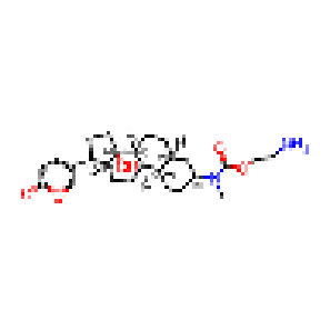 CN(C(=O)OCCN)[C@H]1CC[C@@]2(C)[C@H](CC[C@@H]3[C@@H]2CC[C@]2(C)[C@@H](c4ccc(=O)oc4)CC[C@]32O)C1